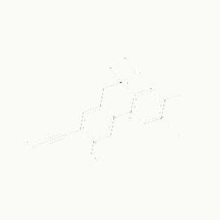 CCCC#Cc1cc2c(cc1OC)-c1cc(=O)c(C(=O)OCC)cn1C1(CCC1)C2